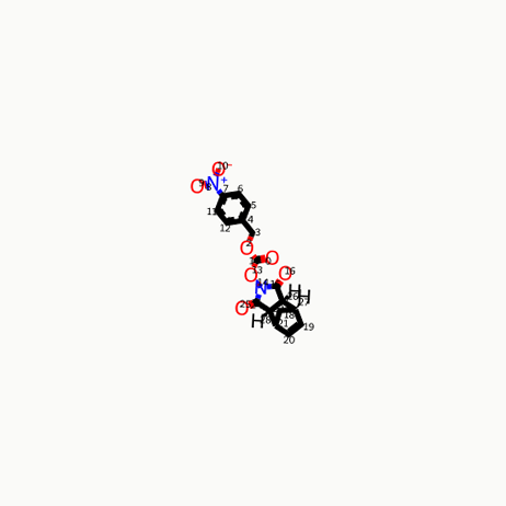 O=C(OCc1ccc([N+](=O)[O-])cc1)ON1C(=O)[C@@H]2[C@H]3C=CC(C3)[C@@H]2C1=O